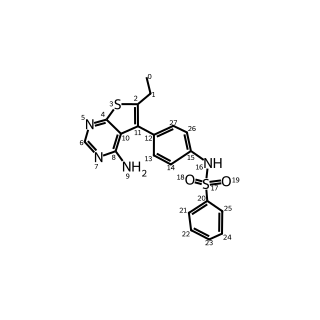 CCc1sc2ncnc(N)c2c1-c1ccc(NS(=O)(=O)c2ccccc2)cc1